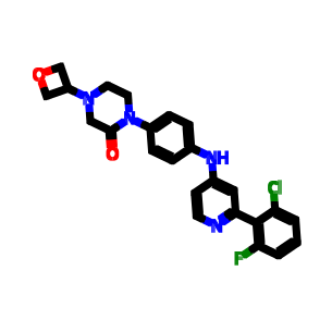 O=C1CN(C2COC2)CCN1c1ccc(Nc2ccnc(-c3c(F)cccc3Cl)c2)cc1